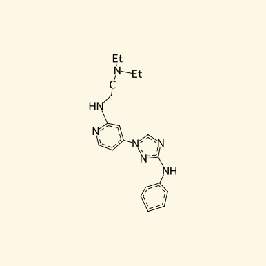 CCN(CC)CCNc1cc(-n2cnc(Nc3ccccc3)n2)ccn1